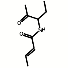 CC=CC(=O)NC(CC)C(C)=O